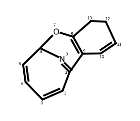 C1=CC2=NC(C=C1)OC1=C2C=CCC1